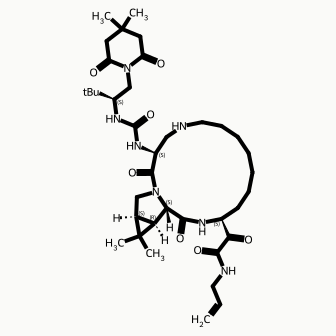 C=CCNC(=O)C(=O)[C@@H]1CCCCCCCNC[C@H](NC(=O)N[C@H](CN2C(=O)CC(C)(C)CC2=O)C(C)(C)C)C(=O)N2C[C@H]3[C@@H]([C@H]2C(=O)N1)C3(C)C